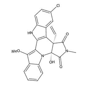 C=C[C@]12C(=O)N(C)C(=O)[C@@]1(O)n1c(c(OC)c3ccccc31)-c1[nH]c3ccc(Cl)cc3c12